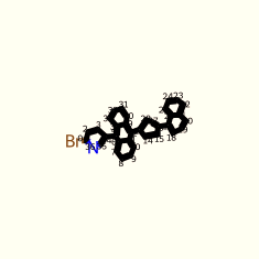 Brc1ccc(-c2c3ccccc3c(-c3ccc(-c4cccc5ccccc45)cc3)c3ccccc23)cn1